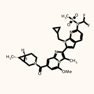 COc1cc(C(=O)N2CC[C@H]3[C@@H](C)[C@H]3C2)cc2nc(-c3cc4ccc(N(C(F)F)S(C)(=O)=O)nc4n3CC3CC3)c(C)n12